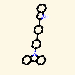 c1ccc2[nH]c(-c3ccc(-c4ccc(-n5c6ccccc6c6ccccc65)cc4)cc3)cc2c1